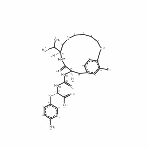 CC(C)[C@H]1COCCCCOc2ccc(cc2F)C[C@@H](NC(=O)N[C@@H](Cc2ccc(N)nc2)C(=O)O)C(=O)N1